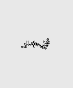 Cc1nc(OCCNC(=O)OC(C)(C)C)c(C)c2c1CC(CNCCC1CN(c3ccc4c(n3)NC(=O)CO4)C(=O)O1)C2